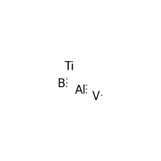 [Al].[B].[Ti].[V]